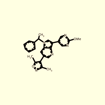 COc1ncc(-c2cn(C(C)c3ccccc3)c3cc(-c4c(C)noc4C)cnc23)cn1